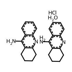 Cl.Nc1c2c(nc3ccccc13)CCCC2.Nc1c2c(nc3ccccc13)CCCC2.O